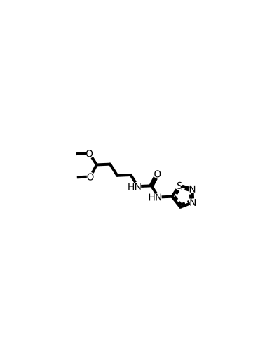 COC(CCCNC(=O)Nc1cnns1)OC